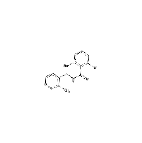 Cc1ccccc1C1NC(=O)c2c(Cl)cccc2N1